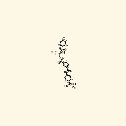 CCOC(=O)[C@@H](CNC(=O)c1ccc(C(=O)Nc2ccc(C(=N)NO)cc2)s1)NS(=O)(=O)c1ccc(C)cc1